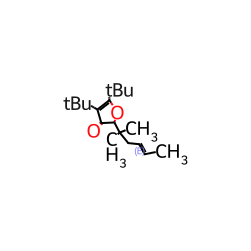 C/C=C/CC(C)(C)C1OC(C(C)(C)C)=C(C(C)(C)C)C1=O